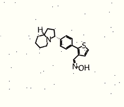 O/N=C\c1ccsc1-c1ccc([C@H]2CC[C@H]3CCCCN32)cc1